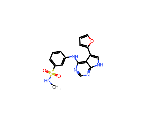 CNS(=O)(=O)c1cccc(Nc2ncnc3[nH]cc(-c4ccco4)c23)c1